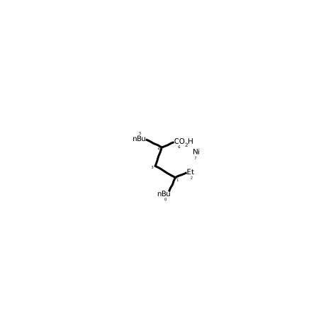 CCCCC(CC)CC(CCCC)C(=O)O.[Ni]